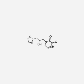 O=c1[nH]n[c]n(CC(O)CC2OCCO2)c1=O